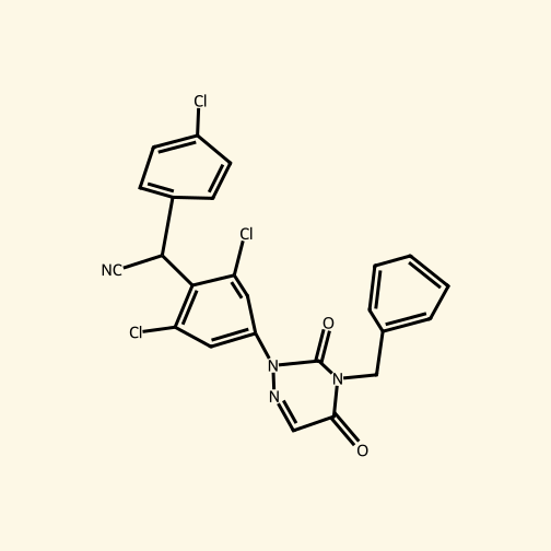 N#CC(c1ccc(Cl)cc1)c1c(Cl)cc(-n2ncc(=O)n(Cc3ccccc3)c2=O)cc1Cl